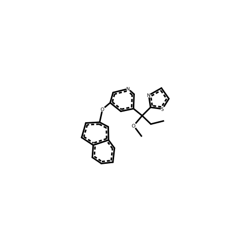 CCC(OC)(c1cncc(Oc2ccc3ccccc3c2)c1)c1nccs1